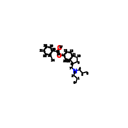 CCCN(CCC)CC1CCc2ccc(OC(=O)c3ccccc3C)cc21